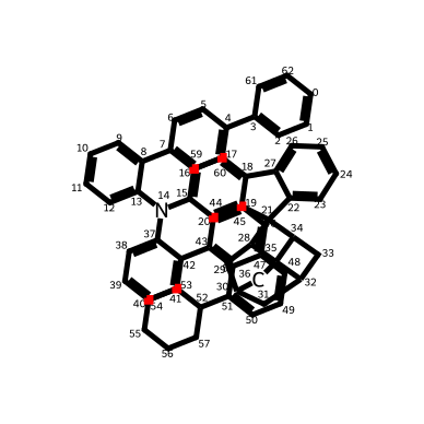 c1ccc(-c2ccc(-c3ccccc3N(c3ccc4c(c3)C3(c5ccccc5-4)C4CC5CC6CC3C64C5)c3ccccc3-c3cccc4cccc(C5CCCCC5)c34)cc2)cc1